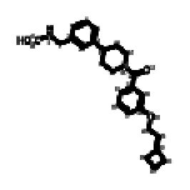 O=C(O)NCc1cccc(C2CCN(C(=O)c3cccc(OCC=C4CCC4)c3)CC2)c1